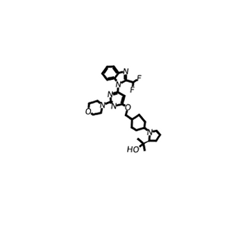 CC(C)(O)[C@@H]1CCCN1C1CCC(COc2cc(-n3c(C(F)F)nc4ccccc43)nc(N3CCOCC3)n2)CC1